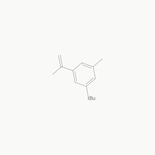 C=C(C)c1cc(C)cc(C(C)(C)C)c1